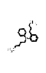 CCCCCP(c1ccccc1CCCC)C1CCCCC1